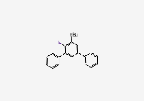 CC(C)(C)c1cc(-c2ccccc2)cc(-c2ccccc2)c1I